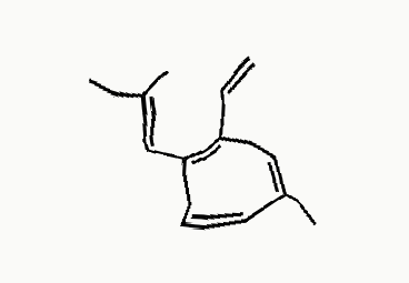 C=Cc1cc(C)ccc1C=C(C)C